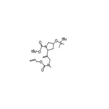 C=CCOC(=O)N(C)CC(=C)C1CC(O[Si](C)(C)C(C)(C)C)CN1C(=O)OC(C)(C)C